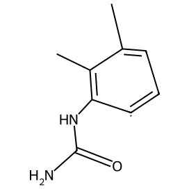 Cc1cc[c]c(NC(N)=O)c1C